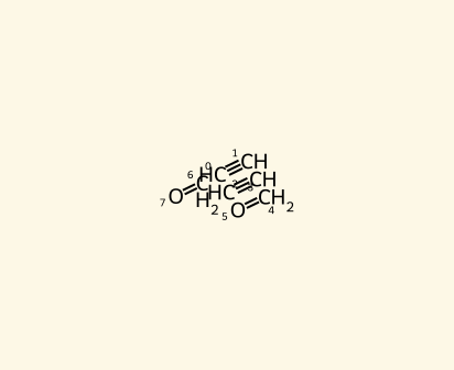 C#C.C#C.C=O.C=O